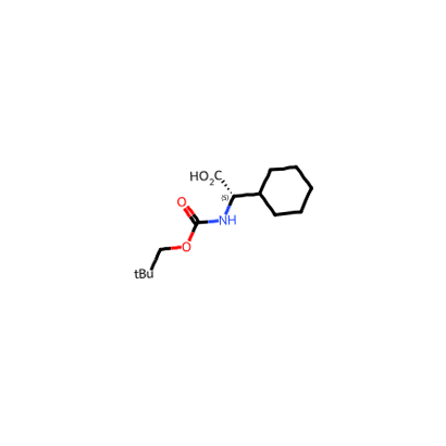 CC(C)(C)COC(=O)N[C@H](C(=O)O)C1CCCCC1